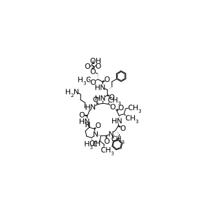 CC[C@@H](C)[C@@H]1NC(=O)[C@H](Cc2ccccc2)N(C)C(=O)[C@H]([C@@H](C)CC)N2C(=O)[C@H](CC[C@H]2O)NC(=O)[C@H](CCCCN)NC(=O)[C@@H](NC(=O)[C@@H](CCc2ccccc2)NC(=O)[C@@H](COS(=O)(=O)O)OC)[C@@H](C)OC1=O